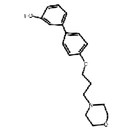 Oc1cccc(-c2ccc(OCCCN3CCOCC3)cc2)c1